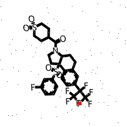 O=C(C1CCS(=O)(=O)CC1)N1CCC2(S(=O)(=O)c3cccc(F)c3)c3ccc(C(F)(C(F)(F)F)C(F)(F)F)cc3CCC12